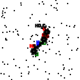 Cl.O=C(O)COc1cccc(S(=O)(=O)c2ccc(CCCNC[C@@H](O)c3cccc(Cl)c3)cc2)c1